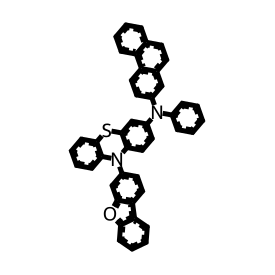 c1ccc(N(c2ccc3c(c2)Sc2ccccc2N3c2ccc3c(c2)oc2ccccc23)c2ccc3c(ccc4ccccc43)c2)cc1